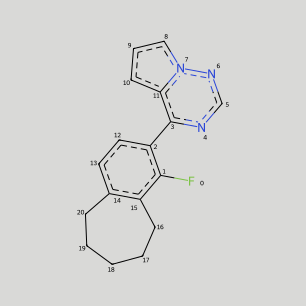 Fc1c(-c2ncnn3cccc23)ccc2c1CCCCC2